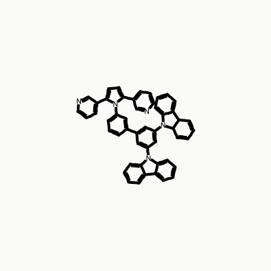 C1=CC2c3ccccc3N(c3cc(-c4cccc(-n5c(-c6cccnc6)ccc5-c5cccnc5)c4)cc(-n4c5ccccc5c5ccccc54)c3)C2C=C1